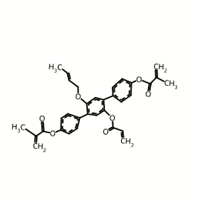 C=CC(=O)Oc1cc(-c2ccc(OC(=O)C(=C)C)cc2)c(OC/C=C/C)cc1-c1ccc(OC(=O)C(=C)C)cc1